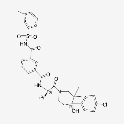 Cc1cccc(S(=O)(=O)NC(=O)c2cccc(C(=O)N[C@@H](C(=O)N3CC[C@](O)(c4ccc(Cl)cc4)C(C)(C)C3)C(C)C)c2)c1